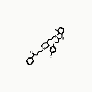 Cc1cccc2c1N(CCCC1CCN(CCCC(=O)c3ccccc3)CC1)C(COc1ccc(Cl)cc1)N2